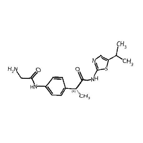 CC(C)c1cnc(NC(=O)[C@H](C)c2ccc(NC(=O)CN)cc2)s1